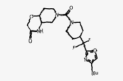 CC(C)(C)c1coc(C(F)(F)C2CCN(C(=O)N3CCC4OCC(=O)NC4C3)CC2)n1